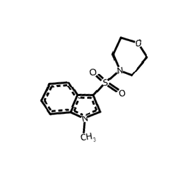 Cn1cc(S(=O)(=O)N2CCOCC2)c2ccccc21